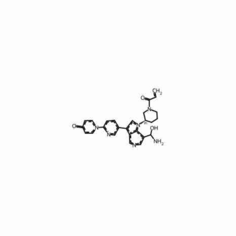 C=CC(=O)N1CCC[C@@H](n2cc(-c3ccc(-n4ccc(=O)cc4)nc3)c3cncc(C(N)O)c32)C1